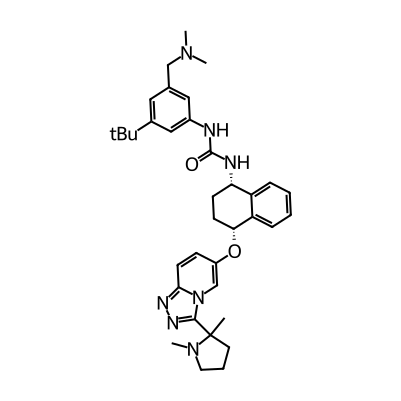 CN(C)Cc1cc(NC(=O)N[C@H]2CC[C@@H](Oc3ccc4nnc(C5(C)CCCN5C)n4c3)c3ccccc32)cc(C(C)(C)C)c1